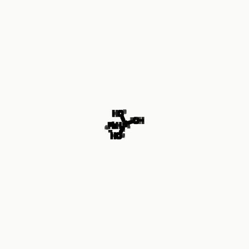 OB(O)O.[PbH2]